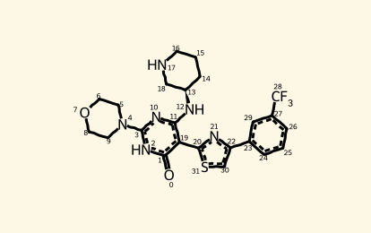 O=c1[nH]c(N2CCOCC2)nc(N[C@@H]2CCCNC2)c1-c1nc(-c2cccc(C(F)(F)F)c2)cs1